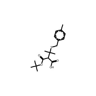 Cc1ccc(CSC(C)(C)C(C(=O)O)C(=O)OC(C)(C)C)cc1